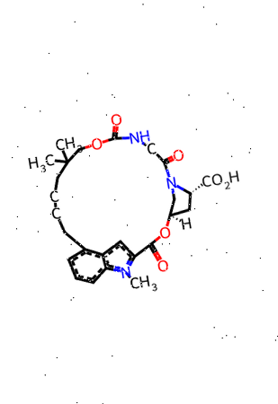 Cn1c2cc3c(cccc31)CCCCC(C)(C)COC(=O)NCC(=O)N1C[C@@H](C[C@H]1C(=O)O)OC2=O